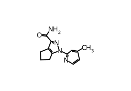 Cc1ccnc(-n2nc(C(N)=O)c3c2CCC3)c1